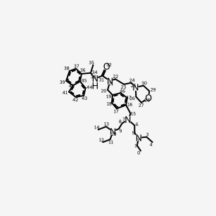 CCN(CC)CCN(CCN(CC)CC)Cc1ccc(CN(CCCN2CCOCC2)C(=O)NC(C)c2cccc3ccccc23)cc1